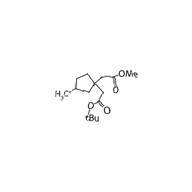 COC(=O)CC1(CC(=O)OC(C)(C)C)CCC(C)C1